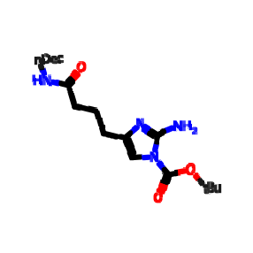 CCCCCCCCCCNC(=O)CCCc1cn(C(=O)OC(C)(C)C)c(N)n1